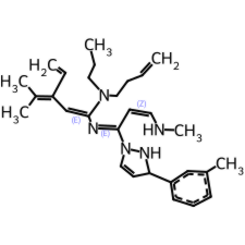 C=CCCN(CCC)C(=C\C(C=C)=C(C)C)/N=C(\C=C/NC)N1C=CC(c2cccc(C)c2)N1